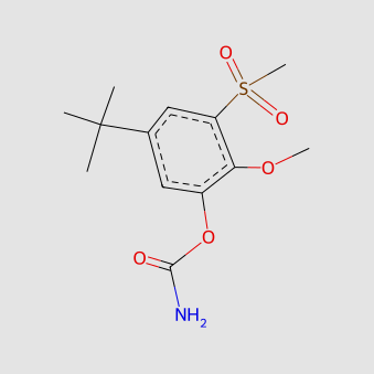 COc1c(OC(N)=O)cc(C(C)(C)C)cc1S(C)(=O)=O